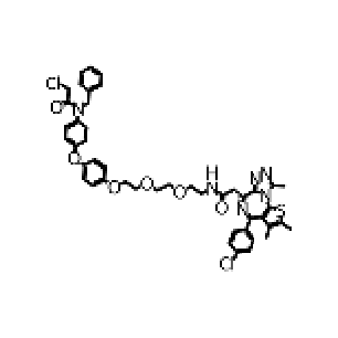 Cc1sc2c(c1C)C(c1ccc(Cl)cc1)=N[C@@H](CC(=O)NCCOCCOCCOc1ccc(Oc3ccc(N(Cc4ccccc4)C(=O)CCl)cc3)cc1)c1nnc(C)n1-2